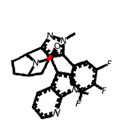 Cn1nc2c(c1-c1cc(F)c(F)c(F)c1)CC1CCC2N1C(=O)c1cn(C)c2ncccc12